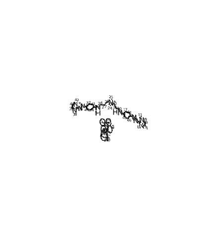 COS(=O)(=O)[O-].Cn1cc[n+](C)c1/N=N/c1ccc(NCCC[N+](C)(C)CCCNc2ccc(/N=N/c3n(C)cc[n+]3C)cc2)cc1.[Cl-].[Cl-]